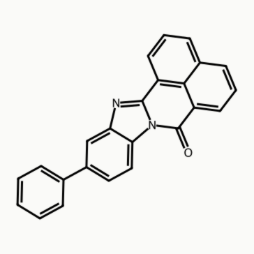 O=c1c2cccc3cccc(c32)c2nc3cc(-c4ccccc4)ccc3n12